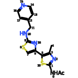 CC(=O)Nc1nc(C)c(-c2csc(NCc3ccncc3)n2)s1